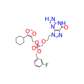 Nc1nc2c(ncn2CCOCP(=O)(OCC2=C(C3CCCCC3)OCO2)OCc2cccc(F)c2)c(=O)[nH]1